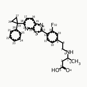 CC(CC(=O)O)NCCc1ccc(-c2nc3ccc(C4(c5ccccc5)CC4)nc3s2)c(F)c1